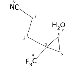 N#CCCC1(C(F)(F)F)CC1.O